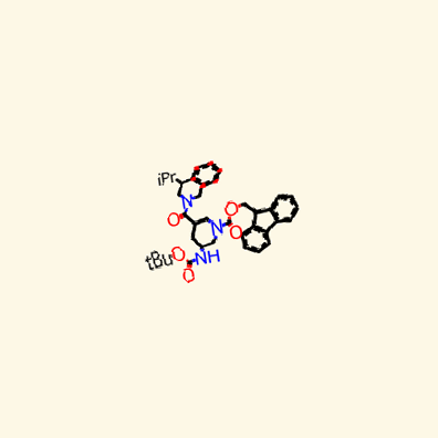 CC(C)C(CN(Cc1ccccc1)C(=O)C1CC(NC(=O)OC(C)(C)C)CN(C(=O)OCC2c3ccccc3-c3ccccc32)C1)c1ccccc1